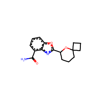 NC(=O)c1cccc2oc(C3CCCC4(CCC4)O3)nc12